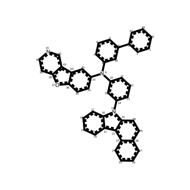 c1ccc(-c2cccc(N(c3cccc(-n4c5ccccc5c5c6ccccc6ccc54)c3)c3ccc4oc5ccncc5c4c3)c2)cc1